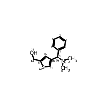 CN(C)[C@H](c1ccccc1)c1csc(CO)c1